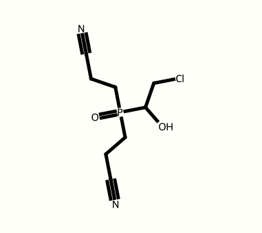 N#CCCP(=O)(CCC#N)C(O)CCl